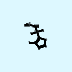 CCCCN[Si](C)(C)C1=C(C)C=CC1